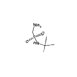 CC(C)(C)NS(=O)(=O)CN